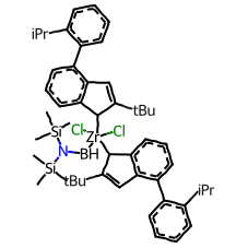 CC(C)c1ccccc1-c1cccc2c1C=C(C(C)(C)C)[CH]2[Zr]([Cl])([Cl])([BH]N([Si](C)(C)C)[Si](C)(C)C)[CH]1C(C(C)(C)C)=Cc2c(-c3ccccc3C(C)C)cccc21